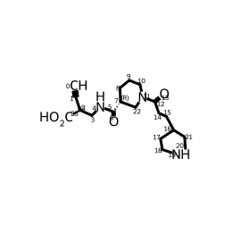 C#C[C@@H](CNC(=O)[C@@H]1CCCN(C(=O)CCC2CCNCC2)C1)C(=O)O